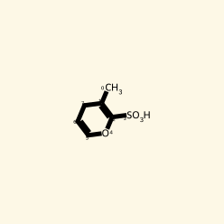 CC1=C(S(=O)(=O)O)OC=CC1